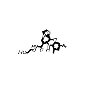 Cc1cc(Br)ccc1Nc1c(C(=O)NOCCO)cn2ccnc2c1Cl